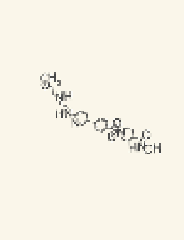 COCCNCCNc1ccc(-c2ccc(S(=O)(=O)N3CC=C(C(=O)NO)CC3)cc2)cn1